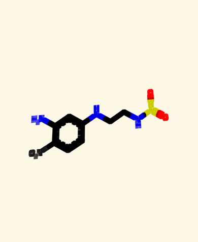 Nc1cc(NCCN[SH](=O)=O)ccc1[N+](=O)[O-]